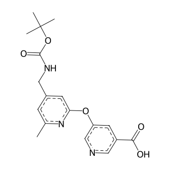 Cc1cc(CNC(=O)OC(C)(C)C)cc(Oc2cncc(C(=O)O)c2)n1